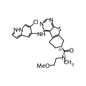 COCCN(C)C(=O)[C@H]1CCc2c(sc3ncnc(Nc4cc5ccnn5cc4Cl)c23)C1